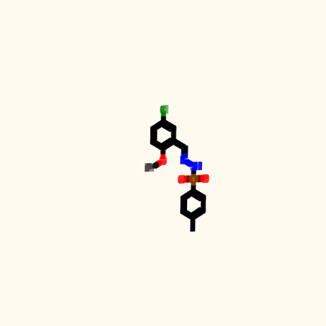 Cc1ccc(S(=O)(=O)NN=Cc2cc(Cl)ccc2OC(C)C)cc1